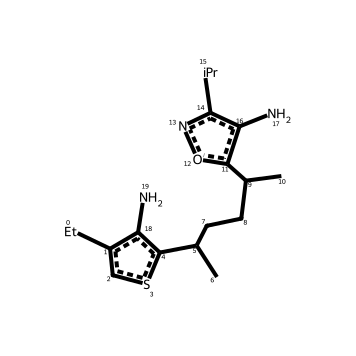 CCc1csc(C(C)CCC(C)c2onc(C(C)C)c2N)c1N